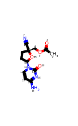 CC(=O)OC[C@]1(C#N)CC[C@H](n2ccc(N)nc2=O)O1